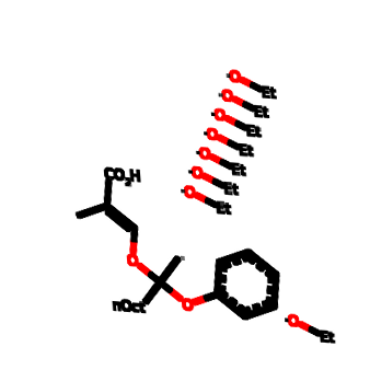 [CH2]C(CCCCCCCC)(OC=C(C)C(=O)O)Oc1ccccc1.[CH2]C[O].[CH2]C[O].[CH2]C[O].[CH2]C[O].[CH2]C[O].[CH2]C[O].[CH2]C[O].[CH2]C[O]